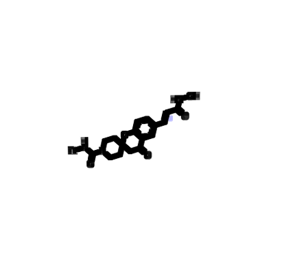 CCNC(=O)N1CCC2(CC1)CC(=O)c1cc(/C=C/C(=O)NO)ccc1O2